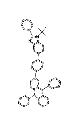 CC(C)(C)n1c(-c2ccccc2)nc2cc(-c3ccc(-c4ccc5c(-c6ccccc6)c6ccccc6c(-c6ccccc6)c5c4)cc3)ccc21